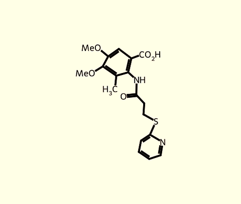 COc1cc(C(=O)O)c(NC(=O)CCSc2ccccn2)c(C)c1OC